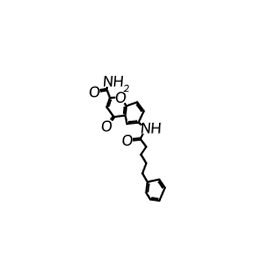 NC(=O)c1cc(=O)c2cc(NC(=O)CCCCc3ccccc3)ccc2o1